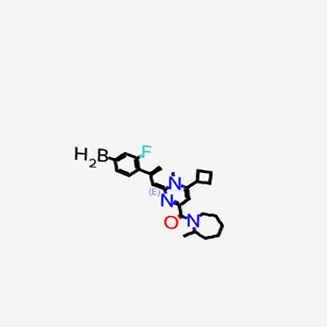 Bc1ccc(C(=C)/C=C2/N=C(C(=O)N3CCCCCC3C)C=C(C3CCC3)N2C)c(F)c1